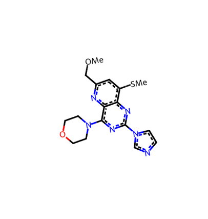 COCc1cc(SC)c2nc(-n3ccnc3)nc(N3CCOCC3)c2n1